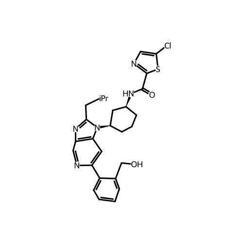 CC(C)Cc1nc2cnc(-c3ccccc3CO)cc2n1[C@@H]1CCC[C@H](NC(=O)c2ncc(Cl)s2)C1